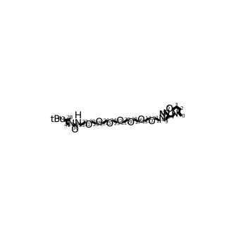 C=C1C=CC(=O)N1Cc1cn(CCOCCOCCOCCOCCOCCOCCOCCNC(=O)N2CC(C(C)(C)C)C2)nn1